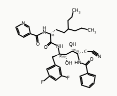 CCCC(CCC)CC[C@@H](NC(=O)c1cccnc1)C(=O)N[C@H](Cc1cc(F)cc(F)c1)[C@@H](O)[C@H](O)[C@H](CC#N)NC(=O)c1ccccc1